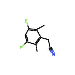 Cc1c(F)cc(F)c(C)c1CC#N